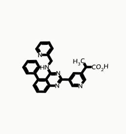 CC(C(=O)O)c1cncc(-c2nc(NCc3ccccn3)c3c(-c4ccccc4)cccc3n2)c1